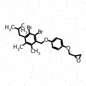 Cc1c(C)c(CC(C)C)c(Br)c(Br)c1COc1ccc(OCC2CO2)cc1